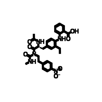 CCc1cc(C[C@@H](NC(C)=O)C(=O)N(CCc2ccc([N+](=O)[O-])cc2)C(=O)NC)ccc1Nc1ccccc1C(=O)O